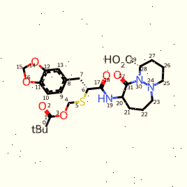 CC(C)(C)C(=O)OCS[C@H](Cc1ccc2c(c1)OCO2)C(=O)NC1CCCN2CCC[C@@H](C(=O)O)N2C1=O